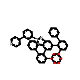 c1ccc(-c2cccc(-c3ccccc3)c2-c2cc(-c3c(-c4ccccc4)cccc3-c3ccccc3)c3nn(-c4cccc(-c5ccncc5)c4)nc3c2)cc1